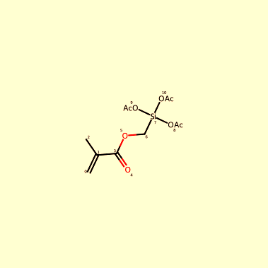 C=C(C)C(=O)OC[Si](OC(C)=O)(OC(C)=O)OC(C)=O